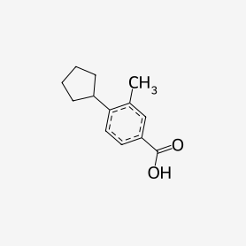 Cc1cc(C(=O)O)ccc1C1CCCC1